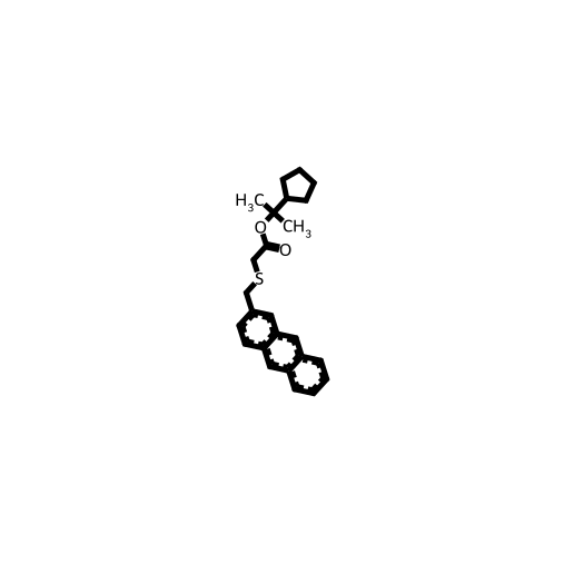 CC(C)(OC(=O)CSCc1ccc2cc3ccccc3cc2c1)C1CCCC1